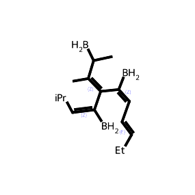 BC(=C/C=C/CC)/C(C(/B)=C\C(C)C)=C(/C)C(B)C